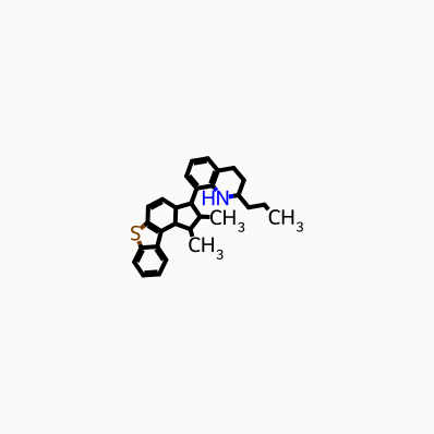 CCCC1CCc2cccc(C3C(C)C(C)C4c5c(sc6ccccc56)C=CC34)c2N1